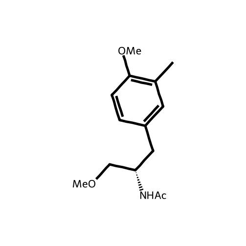 COC[C@H](Cc1ccc(OC)c(C)c1)NC(C)=O